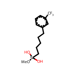 CO[Si](O)(O)CCCCCc1cccc(C(F)(F)F)c1